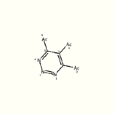 CC(=O)c1nnnc(C(C)=O)c1C(C)=O